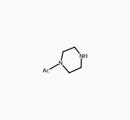 [CH2]C(=O)N1CCNCC1